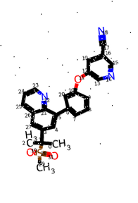 CC(C)(c1cc(-c2cccc(Oc3cncc(C#N)c3)c2)c2ncccc2c1)S(C)(=O)=O